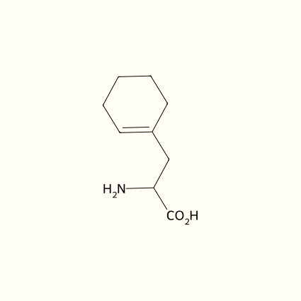 NC(CC1=CCCCC1)C(=O)O